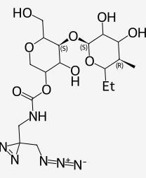 CCC1O[C@@H](O[C@@H]2C(CO)OCC(OC(=O)NCC3(CN=[N+]=[N-])N=N3)C2O)C(O)C(O)[C@H]1C